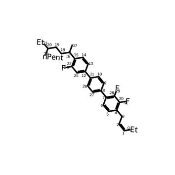 CC/C=C\Cc1ccc(-c2ccc(-c3ccc(C(C)CCC(CC)CCCCC)c(F)c3)cc2)c(F)c1F